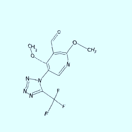 COc1ncc(-n2nnnc2C(F)(F)F)c(OC)c1C=O